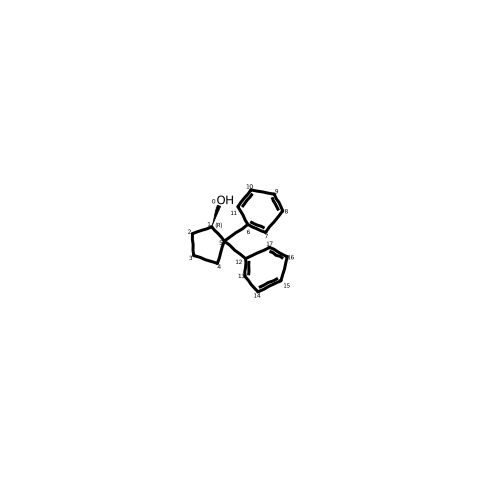 O[C@@H]1CCCC1(c1ccccc1)c1ccccc1